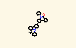 CC1(C)c2ccccc2-n2c3ccc(-c4ccc5c(c4)c4ccccc4c(=O)n5-c4ccccc4)cc3c3cccc1c32